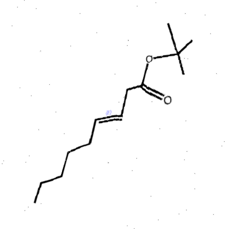 CCCCC/C=C/CC(=O)OC(C)(C)C